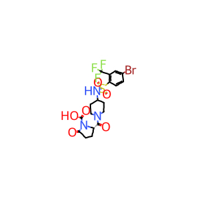 O=C([C@@H]1CCC(=O)N1C(=O)O)N1CCC(NS(=O)(=O)c2ccc(Br)cc2C(F)(F)F)CC1